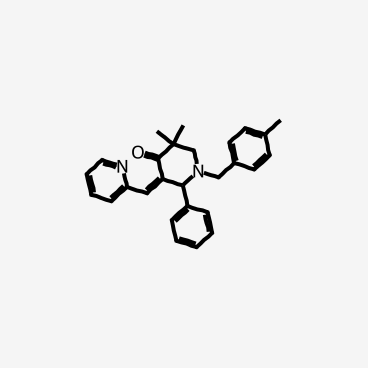 Cc1ccc(CN2CC(C)(C)C(=O)C(=Cc3ccccn3)C2c2ccccc2)cc1